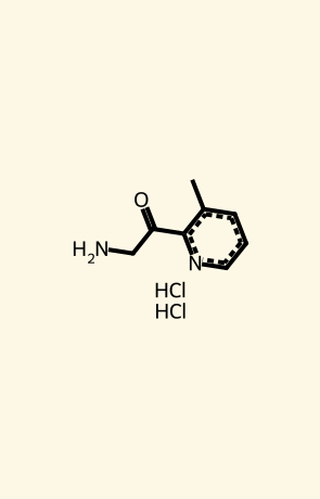 Cc1cccnc1C(=O)CN.Cl.Cl